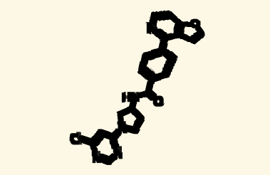 O=C(NC1CCN(c2cc(Cl)ncn2)C1)c1ccc(-c2nccc3occc23)cc1